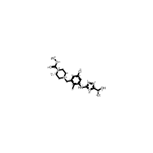 CC[C@H](O)c1nnc(Nc2cc(Cl)cc(CN3CCN(C(=O)OC(C)C)[C@@H](C)C3)c2C)o1